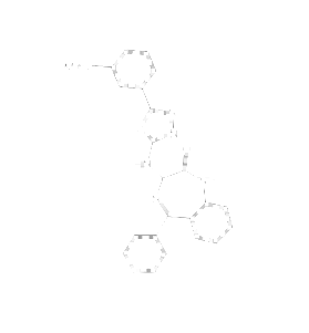 COc1cccc(-c2nnc(NC3N=C(c4ccccc4)c4ccccc4NC3=O)o2)c1